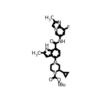 Cc1cn2cc(NC(=O)c3ccc(N4CCN(C(=O)OC(C)(C)C)C(C5CC5)C4)c4cc(C)[nH]c34)cc(F)c2n1